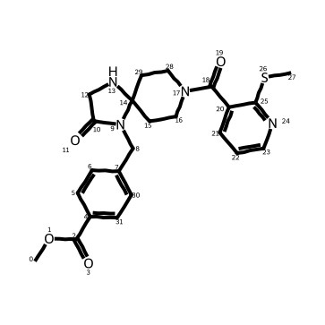 COC(=O)c1ccc(CN2C(=O)CNC23CCN(C(=O)c2cccnc2SC)CC3)cc1